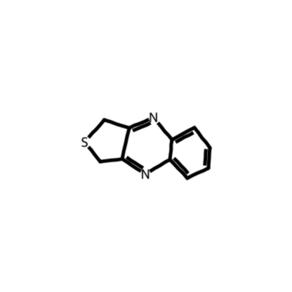 c1ccc2nc3c(nc2c1)CSC3